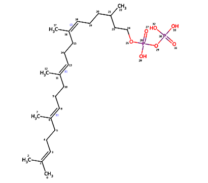 CC(C)=CCC/C(C)=C/CC/C(C)=C/CC/C(C)=C\CCC(C)CCOP(=O)(O)OP(=O)(O)O